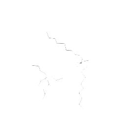 CCCCCCCCOP(=O)([O-])OCCCCCCCC.CCCC[P+](CC)(CCC)CCCC